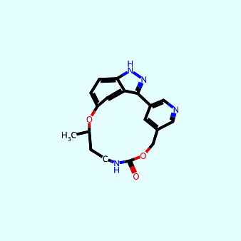 CC1CCNC(=O)OCc2cncc(c2)-c2n[nH]c3ccc(cc23)O1